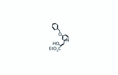 CCOC(=O)C(O)=Cc1cc(OCc2ccccc2)ccn1